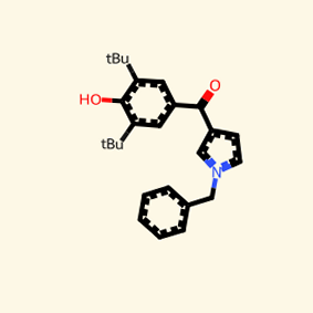 CC(C)(C)c1cc(C(=O)c2ccn(Cc3ccccc3)c2)cc(C(C)(C)C)c1O